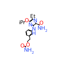 CCc1nc(C(N)=O)c(Nc2cccc(CCOC(N)=O)c2)nc1OC(C)C